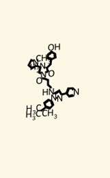 CN1CCCC1CCN(C(=O)CCCNc1cc(-c2ccncc2)nn1-c1ccc(C(C)(C)C)cc1)C(=O)[C@@H](N)Cc1ccc(O)cc1